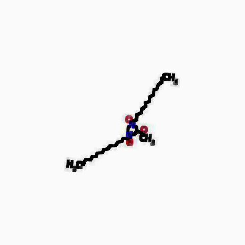 CCCCCCCCCCCCCCCC(=O)N1CCN(C(=O)CCCCCCCCCCCCCCC)CC(C(C)=O)C1